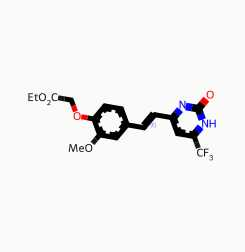 CCOC(=O)COc1ccc(/C=C/c2cc(C(F)(F)F)[nH]c(=O)n2)cc1OC